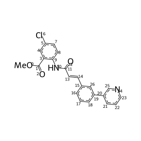 COC(=O)c1cc(Cl)ccc1NC(=O)/C=C/c1cccc(-c2cccnc2)c1